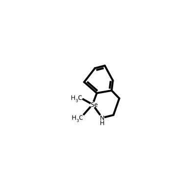 C[Se]1(C)NCCc2ccccc21